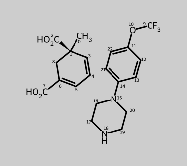 C[C@]1(C(=O)O)C=CC=C(C(=O)O)C1.FC(F)(F)Oc1ccc(N2CCNCC2)cc1